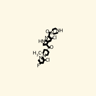 C[C@@H]1C[C@H](C(=O)c2c[nH]c3nc(C(=O)N4CCNCC4)c(Cl)cc23)CCN1c1ncc(F)cc1Cl